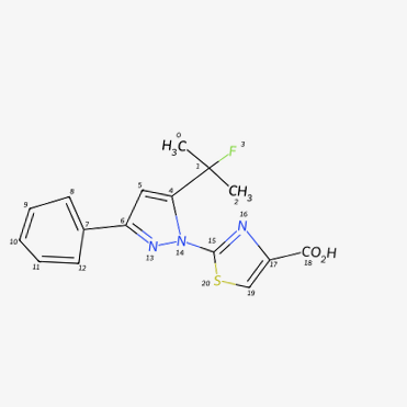 CC(C)(F)c1cc(-c2ccccc2)nn1-c1nc(C(=O)O)cs1